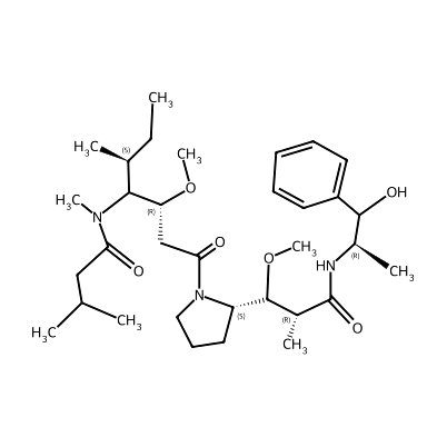 CC[C@H](C)C([C@@H](CC(=O)N1CCC[C@H]1C(OC)[C@@H](C)C(=O)N[C@H](C)C(O)c1ccccc1)OC)N(C)C(=O)CC(C)C